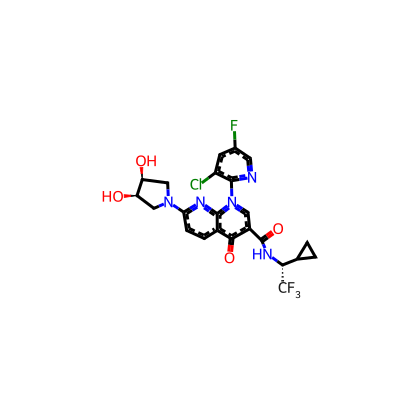 O=C(N[C@H](C1CC1)C(F)(F)F)c1cn(-c2ncc(F)cc2Cl)c2nc(N3C[C@@H](O)[C@@H](O)C3)ccc2c1=O